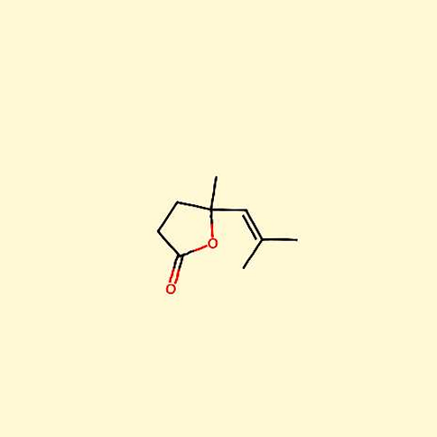 CC(C)=CC1(C)CCC(=O)O1